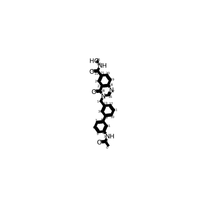 CC(=O)Nc1cccc(-c2cccc(Cn3cnc4ccc(C(=O)NO)cc4c3=O)c2)c1